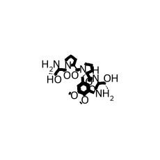 COc1cc(C[C@@]2(C(=O)N[C@H](C(N)=O)[C@@H](C)O)CCCN2C(=O)[C@@H]2CCCN2C(=O)[C@@H](N)[C@@H](C)O)cc(C)c1OC